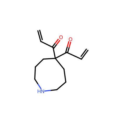 C=CC(=O)C1(C(=O)C=C)CCCNCCC1